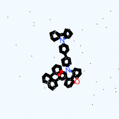 c1ccc(-c2cccc3cccc(-c4ccc(N(c5ccc(-c6ccc(-n7c8ccccc8c8ccccc87)cc6)cc5)c5cccc6oc7ccccc7c56)cc4)c23)cc1